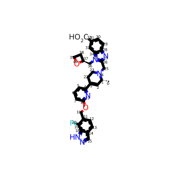 C[C@@H]1C=C(c2cccc(OCc3ccc4cn[nH]c4c3F)n2)CCN1Cc1nc2ccc(C(=O)O)cc2n1C[C@@H]1CCO1